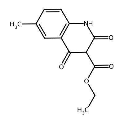 CCOC(=O)C1C(=O)Nc2ccc(C)cc2C1=O